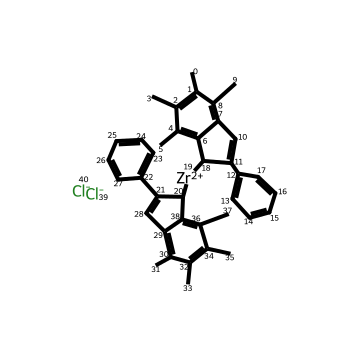 Cc1c(C)c(C)c2c(c1C)C=C(c1ccccc1)[CH]2[Zr+2][CH]1C(c2ccccc2)=Cc2c(C)c(C)c(C)c(C)c21.[Cl-].[Cl-]